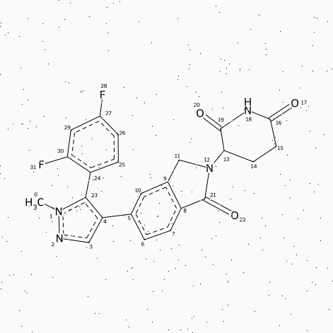 Cn1ncc(-c2ccc3c(c2)CN(C2CCC(=O)NC2=O)C3=O)c1-c1ccc(F)cc1F